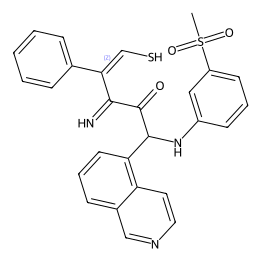 CS(=O)(=O)c1cccc(NC(C(=O)C(=N)/C(=C\S)c2ccccc2)c2cccc3cnccc23)c1